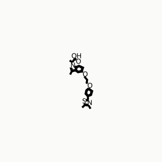 Cc1nc(-c2ccc(OCCCOc3ccc4c(c3)c(C)cn4C(C)C(=O)O)cc2)sc1C